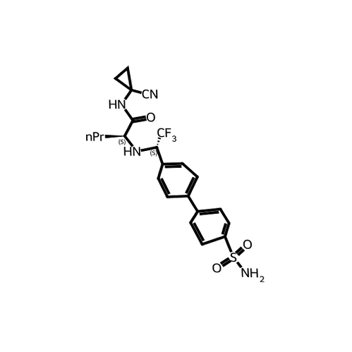 CCC[C@H](N[C@@H](c1ccc(-c2ccc(S(N)(=O)=O)cc2)cc1)C(F)(F)F)C(=O)NC1(C#N)CC1